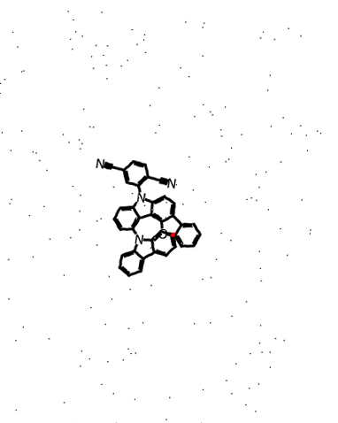 N#Cc1ccc(C#N)c(-n2c3cccc(-n4c5ccccc5c5ccccc54)c3c3c4oc5ccccc5c4ccc32)c1